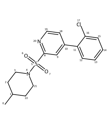 CC1CCN(S(=O)(=O)c2cc(-c3ccccc3Cl)ccn2)CC1